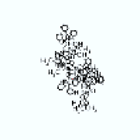 CC[C@H](C)[C@H](NC(=O)[C@H](Cc1ccccc1)NC(=O)[C@@H](N)CC(=O)OC(C)(C)C)C(=O)N[C@@H](CC(=O)NC(c1ccccc1)(c1ccccc1)c1ccccc1)C(=O)N[C@@H](Cc1cn(C(=O)OC(C)(C)C)c2ccccc12)C(=O)N[C@@H](CC(C)C)C(=O)N[C@H](C(=O)N[C@@H](CCC(=O)NC(c1ccccc1)(c1ccccc1)c1ccccc1)C(=O)N[C@H](C(=O)O)[C@@H](C)O)[C@@H](C)CC